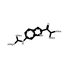 CCCCCCCC(CCCCCC)Nc1ccc2cc(C(=O)C(CCCCCC)CCCCCC)[nH]c2c1